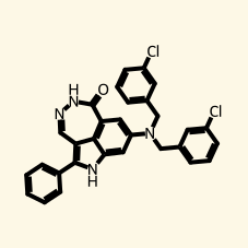 O=C1NN=Cc2c(-c3ccccc3)[nH]c3cc(N(Cc4cccc(Cl)c4)Cc4cccc(Cl)c4)cc1c23